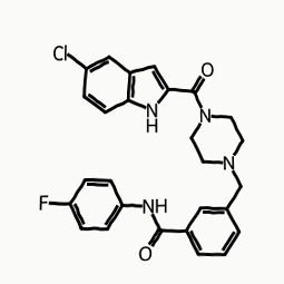 O=C(Nc1ccc(F)cc1)c1cccc(CN2CCN(C(=O)c3cc4cc(Cl)ccc4[nH]3)CC2)c1